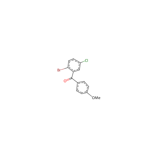 COc1ccc(C(=O)c2cc(Cl)ccc2Br)cc1